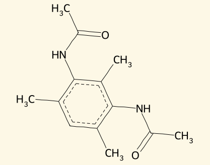 CC(=O)Nc1c(C)cc(C)c(NC(C)=O)c1C